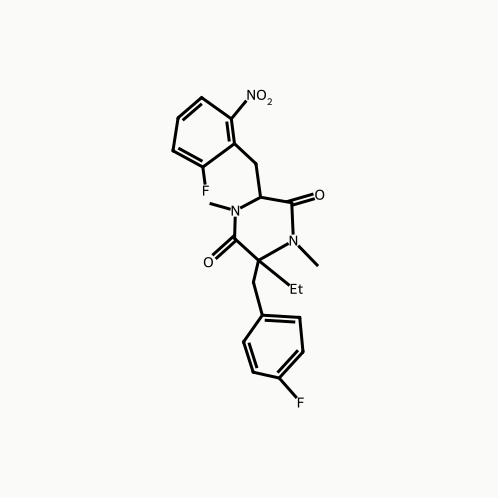 CCC1(Cc2ccc(F)cc2)C(=O)N(C)C(Cc2c(F)cccc2[N+](=O)[O-])C(=O)N1C